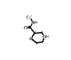 CCNC(=O)C1CNCC[N]1